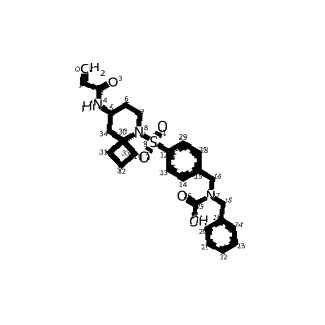 C=CC(=O)NC1CCN(S(=O)(=O)c2ccc(CN(Cc3ccccc3)C(=O)O)cc2)C2(CCC2)C1